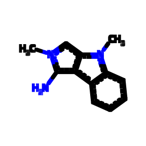 Cn1cc2c(c1N)c1ccccc1n2C